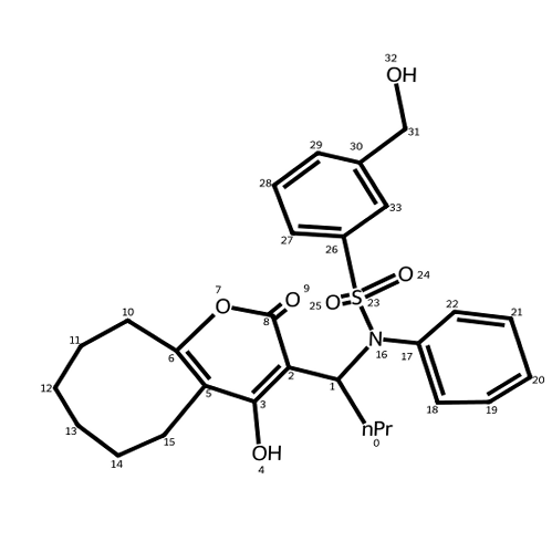 CCCC(c1c(O)c2c(oc1=O)CCCCCC2)N(c1ccccc1)S(=O)(=O)c1cccc(CO)c1